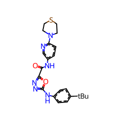 CC(C)(C)c1ccc(Nc2nnc(C(=O)Nc3ccc(N4CCSCC4)nc3)o2)cc1